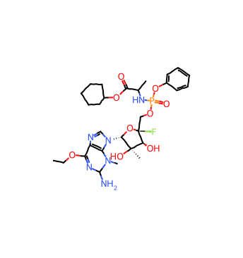 CCOC1=NC(N)N(C)c2c1ncn2[C@@H]1O[C@](F)(COP(=O)(NC(C)C(=O)OC2CCCCC2)Oc2ccccc2)[C@@H](O)[C@@]1(C)O